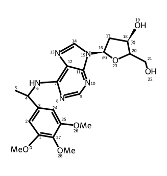 COc1cc(C(C)Nc2ncnc3c2ncn3[C@H]2C[C@@H](O)C(CO)O2)cc(OC)c1OC